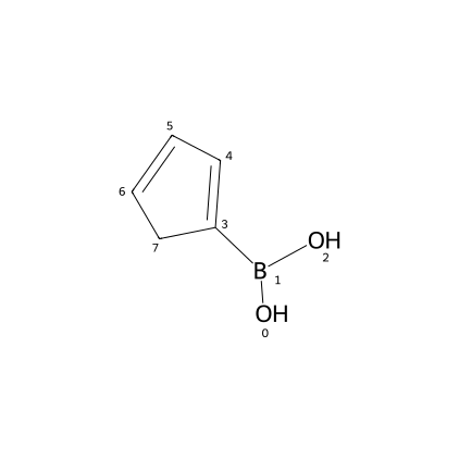 OB(O)C1=CC=CC1